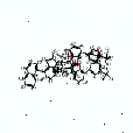 CC1=Cc2c(-c3cc(C(C)(C)C)cc(C(C)(C)C)c3)cccc2[CH]1[Zr]([Cl])([Cl])[Zr]([CH]1C(C(C)C)=Cc2c(-c3ccc(C(C)(C)C)cc3)cccc21)([CH]1C(C)=Cc2c(-c3cccc4ccccc34)cccc21)[SiH](C)C